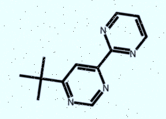 CC(C)(C)c1cc(-c2ncccn2)ncn1